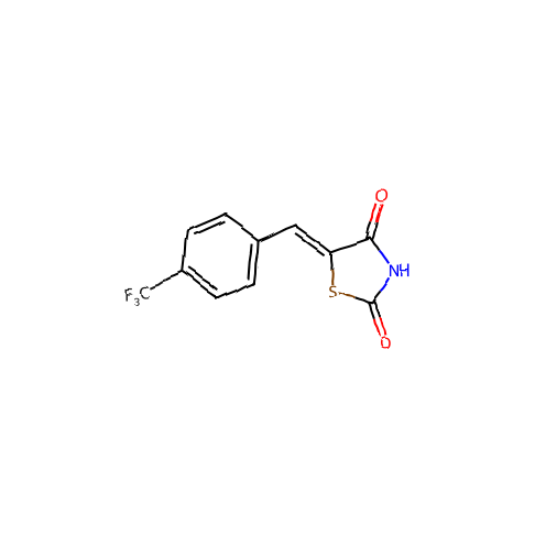 O=C1NC(=O)C(=Cc2ccc(C(F)(F)F)cc2)S1